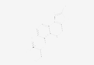 CCC(Oc1cccc2c1CCc1sc(O)nc1-2)C(=O)O